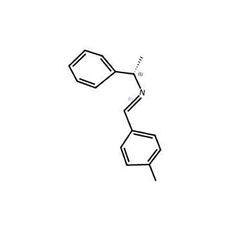 Cc1ccc(/C=N/[C@@H](C)c2ccccc2)cc1